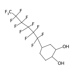 OC1CCC(C(F)(F)C(F)(F)C(F)(F)C(F)(F)C(F)(F)C(F)(F)F)CC1O